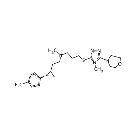 CN(CCCSc1nnc(N2CCOCC2)n1C)CCC1C[C@H]1c1ccc(C(F)(F)F)cc1